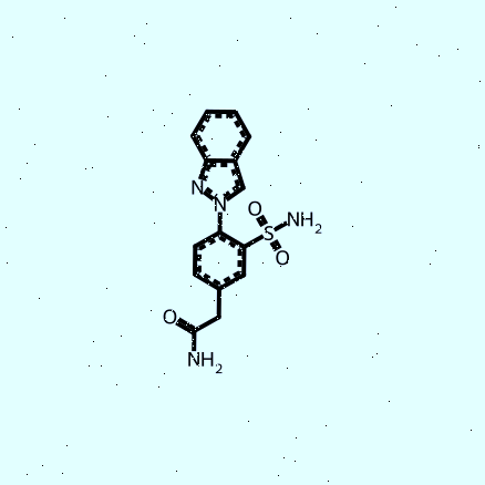 NC(=O)Cc1ccc(-n2cc3ccccc3n2)c(S(N)(=O)=O)c1